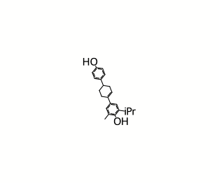 Cc1cc(C2=CCC(c3ccc(O)cc3)CC2)cc(C(C)C)c1O